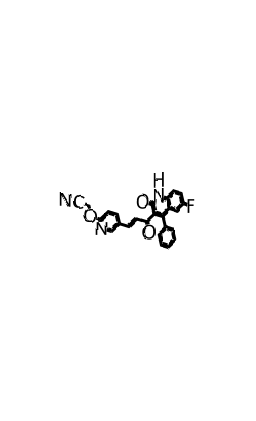 N#CCOc1ccc(/C=C/C(=O)c2c(-c3ccccc3)c3cc(F)ccc3[nH]c2=O)cn1